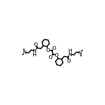 CN(C)CCNC(=O)CC1CCCCC1OC(=O)C(=O)OC1CCCCC1CC(=O)NCCN(C)C